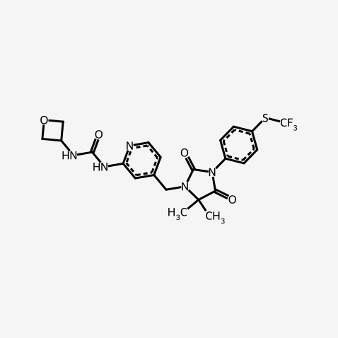 CC1(C)C(=O)N(c2ccc(SC(F)(F)F)cc2)C(=O)N1Cc1ccnc(NC(=O)NC2COC2)c1